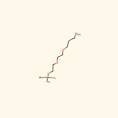 CC(C)(C)[Si](C)(C)OCCOCCOCCCS(=O)(=O)O